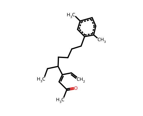 C=C/C(=C\C(C)=O)C(CC)CCCCc1cc(C)ccc1C